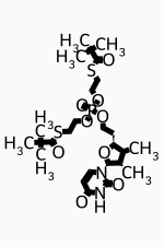 CC1[C@@H](CCOP(=O)(OCCSC(=O)C(C)(C)C)OCCSC(=O)C(C)(C)C)O[C@@H](n2ccc(=O)[nH]c2=O)[C@H]1C